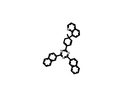 CC1(c2cccc3cccnc23)C=CC(c2nc(-c3ccc4ccccc4c3)nc(-c3ccc4ccccc4c3)n2)=CC1